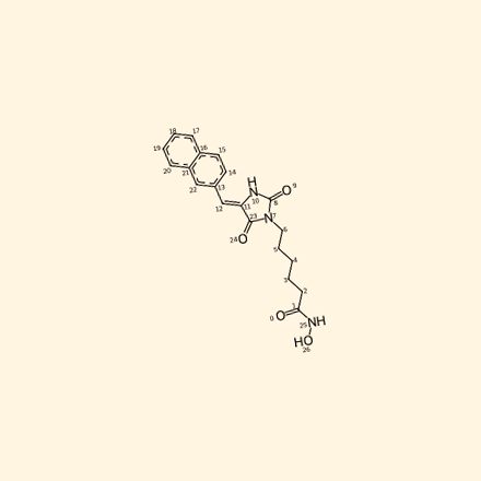 O=C(CCCCCN1C(=O)N/C(=C\c2ccc3ccccc3c2)C1=O)NO